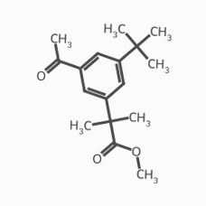 COC(=O)C(C)(C)c1cc(C(C)=O)cc(C(C)(C)C)c1